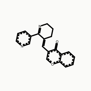 O=c1c(C=C2CCCN=C2c2cccnc2)coc2ccccc12